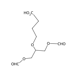 O=COCC(COC=O)OCCCC(=O)O